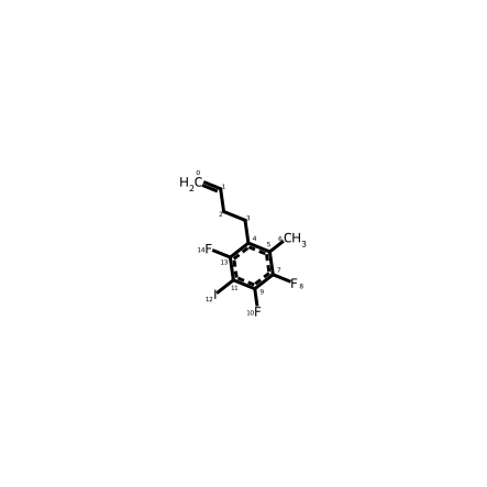 C=CCCc1c(C)c(F)c(F)c(I)c1F